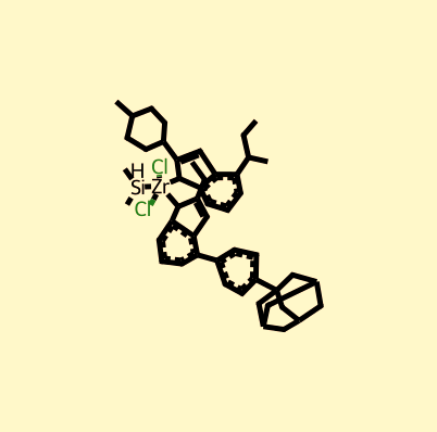 CCC1=Cc2c(-c3ccc(C45CC6CC(CC(C6)C4)C5)cc3)cccc2[CH]1[Zr]([Cl])([Cl])([CH]1C(C2CCC(C)CC2)=Cc2c(C(C)CC)cccc21)[SiH](C)C